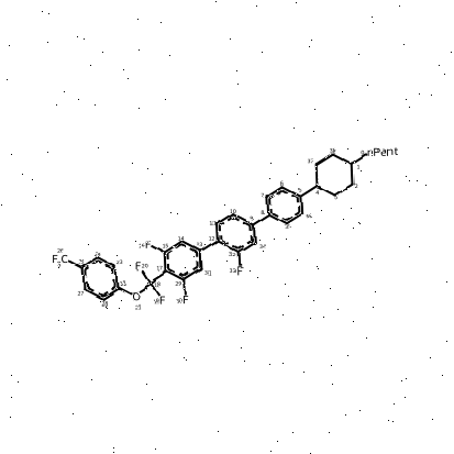 CCCCCC1CCC(c2ccc(-c3ccc(-c4cc(F)c(C(F)(F)Oc5ccc(C(F)(F)F)cc5)c(F)c4)c(F)c3)cc2)CC1